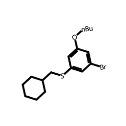 CCCCOc1cc(Br)cc(SCC2CCCCC2)c1